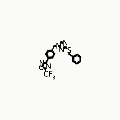 FC(F)(F)c1nc(-c2ccc(Cn3cnc(SCc4ccccc4)n3)cc2)no1